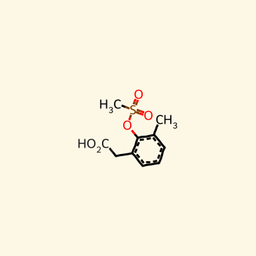 Cc1cccc(CC(=O)O)c1OS(C)(=O)=O